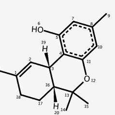 CC1=C[C@@H]2c3c(O)cc(C)cc3OC(C)(C)[C@@H]2CC1